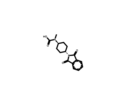 CN(C(=O)O)[C@H]1CC[C@H](N2C(=O)c3ccccc3C2=O)CC1